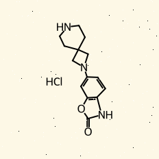 Cl.O=c1[nH]c2ccc(N3CC4(CCNCC4)C3)cc2o1